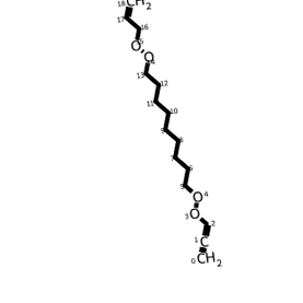 C=C=COOCCCCCCCCCOOCC=C